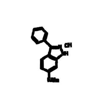 CNc1ccc2c(-c3ccccc3)n[nH]c2c1.Cl